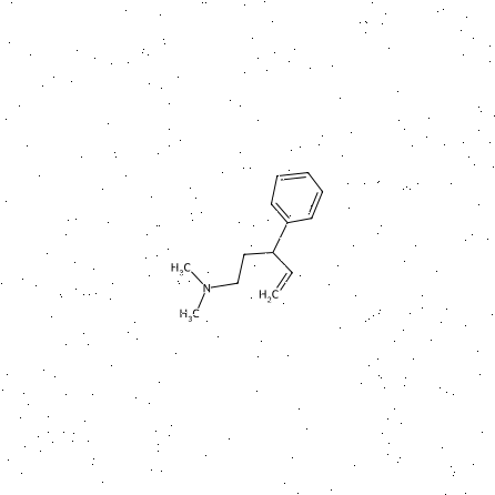 C=CC(CCN(C)C)c1ccccc1